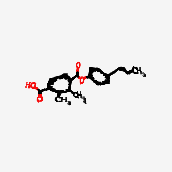 CCCc1ccc(OC(=O)c2ccc(C(=O)O)c(C)c2C)cc1